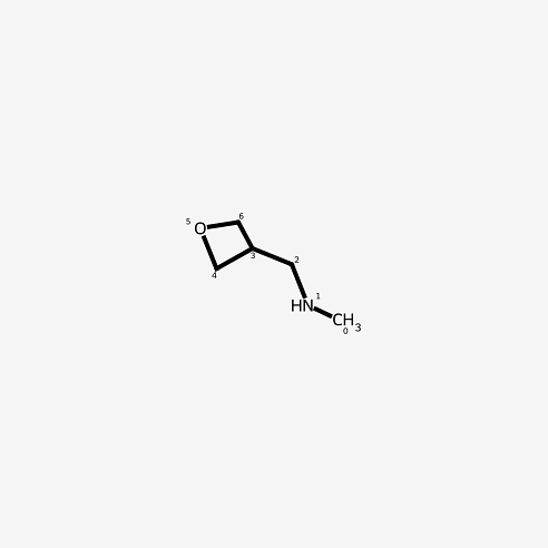 CNCC1COC1